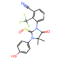 CC1(C)C(=O)N(c2cccc(C#N)c2C(F)(F)F)C(=S=O)N1c1ccc(O)cc1